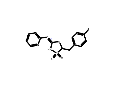 O=S1(=O)N/C(=N\c2ccccn2)SC1Cc1ccc(F)cc1